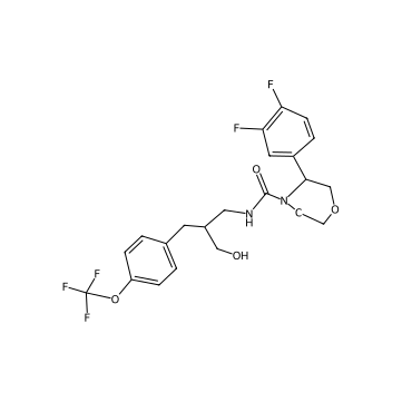 O=C(NCC(CO)Cc1ccc(OC(F)(F)F)cc1)N1CCOCC1c1ccc(F)c(F)c1